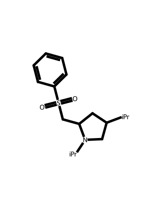 CC(C)C1CC(CS(=O)(=O)c2ccccc2)N(C(C)C)C1